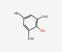 CCCCc1cc(C=O)c(O)c(C=O)c1